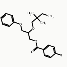 CCC(C)(C)COC(COC(=O)c1ccc(I)cc1)COc1ccccc1